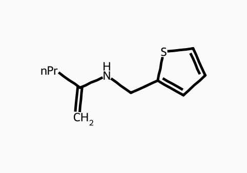 C=C(CCC)NCc1cccs1